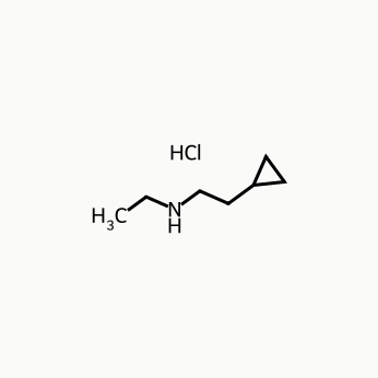 CCNCCC1CC1.Cl